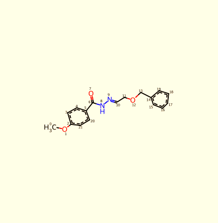 COc1ccc(C(=O)NN=CCOCc2ccccc2)cc1